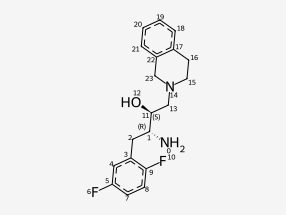 N[C@H](Cc1cc(F)ccc1F)[C@@H](O)CN1CCc2ccccc2C1